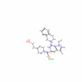 CCn1c(C)c(C)c2cc(C(=O)N3CCC(CCO)CC3)nc(N3CCc4ccccc4C3)c21.Cl